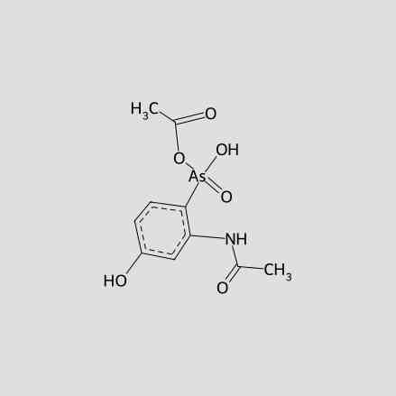 CC(=O)Nc1cc(O)ccc1[As](=O)(O)OC(C)=O